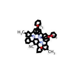 Cc1ccc2c(c1)c1cc(C)ccc1n2-c1c(-c2ccccc2)c(C#N)c(-c2ccccc2)c(-n2c3ccc(C)cc3c3cc(C)ccc32)c1-n1c2ccc(-c3ccccc3)cc2c2cc(-c3ccccc3)ccc21